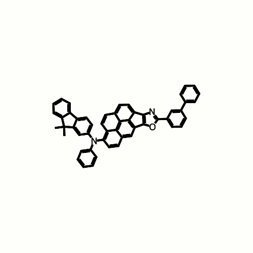 CC1(C)c2ccccc2-c2ccc(N(c3ccccc3)c3ccc4cc5c6c(ccc7ccc3c4c76)-c3nc(-c4cccc(-c6ccccc6)c4)oc3-5)cc21